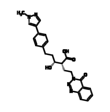 Cn1cc(-c2ccc(CC[C@@H](O)[C@@H](CCn3nnc4ccccc4c3=O)C(=O)O)cc2)cn1